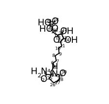 NC(=O)C1(CCCCCCCCC2OC(COP(=O)(O)O)C(O)C2O)CCC=CC(=O)N1